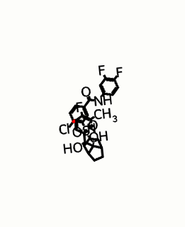 Cc1nc(C(O)[C@]2(O)C3CCC2C[C@@H](S(=O)(=O)c2cc(C(=O)Nc4ccc(F)c(F)c4)ccc2Cl)C3)ccc1F